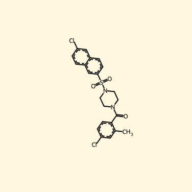 Cc1cc(Cl)ccc1C(=O)N1CCN(S(=O)(=O)c2ccc3cc(Cl)ccc3c2)CC1